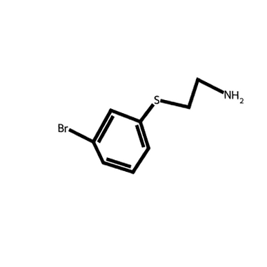 NCCSc1cccc(Br)c1